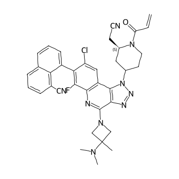 C=CC(=O)N1CCC(n2nnc3c(N4CC(C)(N(C)C)C4)nc4c(F)c(-c5cccc6cccc(C#N)c56)c(Cl)cc4c32)C[C@H]1CC#N